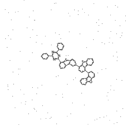 c1ccc(-c2nc(-c3ccccc3)nc(-c3cccc4c3sc3ccc(-c5ccc(-c6cccc7oc8ccccc8c67)c6c5sc5ccccc56)cc34)n2)cc1